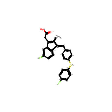 CC1=C(CC(=O)O)c2cc(F)ccc2/C1=C\c1ccc(Sc2ccc(F)cc2)cc1